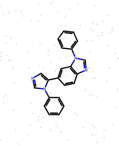 c1ccc(-n2cncc2-c2ccc3ncn(-c4ccccc4)c3c2)cc1